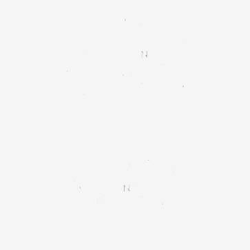 O=C(CCCC1(N2C(=O)C=CC2=O)C=CC=CC1)ON1C(=O)CCC1=O